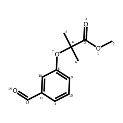 COC(=O)C(C)(C)Oc1cccc(C=O)c1